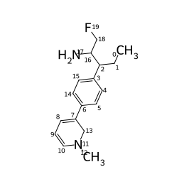 CCC(c1ccc(C2=CC=CN(C)C2)cc1)C(N)CF